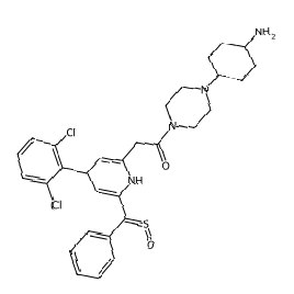 NC1CCC(N2CCN(C(=O)CC3=CC(c4c(Cl)cccc4Cl)C=C(C(=S=O)c4ccccc4)N3)CC2)CC1